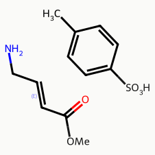 COC(=O)/C=C/CN.Cc1ccc(S(=O)(=O)O)cc1